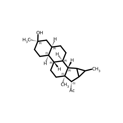 CC(=O)[C@H]1C2C(C)C2[C@H]2[C@@H]3CC[C@@H]4C[C@](C)(O)CC[C@@H]4[C@H]3CC[C@]12C